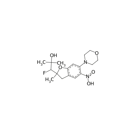 CC(C)(O)C(F)C1(C)Cc2cc([N+](=O)O)c(N3CCOCC3)cc2O1